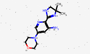 CC1(C)CNC(c2ncc(N3CCOCC3)cc2N)=N1